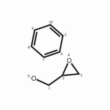 [O]CC1CO1.c1ccccc1